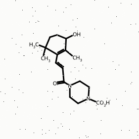 CC1=C(/C=C/C(=O)N2CCN(C(=O)O)CC2)C(C)(C)CCC1O